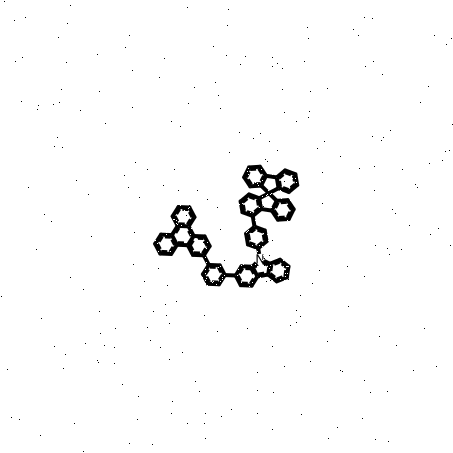 c1cc(-c2ccc3c4ccccc4c4ccccc4c3c2)cc(-c2ccc3c4ccccc4n(-c4ccc(-c5cccc6c5-c5ccccc5C65c6ccccc6-c6ccccc65)cc4)c3c2)c1